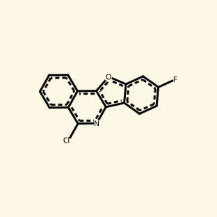 Fc1ccc2c(c1)oc1c3ccccc3c(Cl)nc21